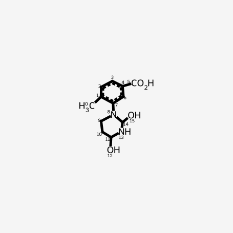 Cc1ccc(C(=O)O)cc1N1CCC(O)NC1O